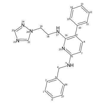 c1ccc(CNc2ccc(-c3ccccc3)c(NCCn3cncn3)n2)cc1